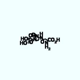 NC(CC(=O)Nc1ccn([C@@H]2O[C@H](CO)[C@H](O)C2O)c(=O)n1)C(=O)O